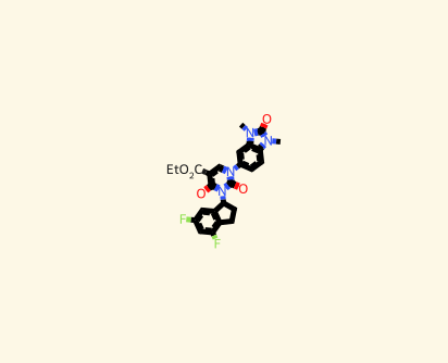 CCOC(=O)c1cn(-c2ccc3c(c2)n(C)c(=O)n3C)c(=O)n(C2CCc3c(F)cc(F)cc32)c1=O